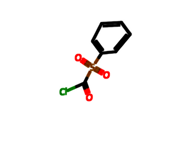 O=C(Cl)S(=O)(=O)c1ccccc1